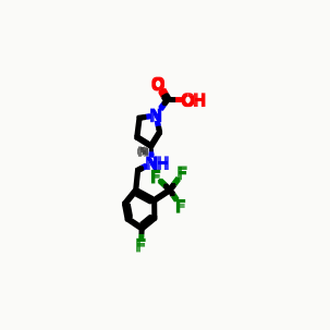 O=C(O)N1CC[C@H](NCc2ccc(F)cc2C(F)(F)F)C1